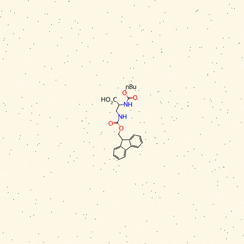 CCCCOC(=O)NC(CNC(=O)OCC1c2ccccc2-c2ccccc21)C(=O)O